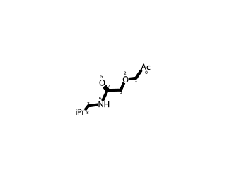 CC(=O)COCC(=O)NCC(C)C